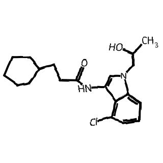 CC(O)Cn1cc(NC(=O)CCC2CCCCC2)c2c(Cl)cccc21